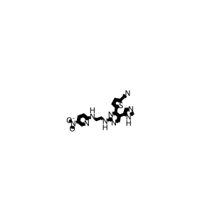 N#Cc1ccc(-c2nc(NCCNc3ccc([N+](=O)[O-])cn3)ncc2-c2cnc[nH]2)s1